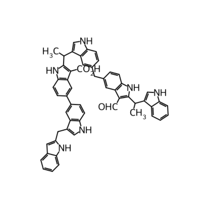 CC(c1[nH]c2ccc(Cc3ccc4[nH]cc(C(C)c5[nH]c6ccc(-c7ccc8[nH]cc(Cc9cc%10ccccc%10[nH]9)c8c7)cc6c5C(=O)O)c4c3)cc2c1C=O)c1c[nH]c2ccccc12